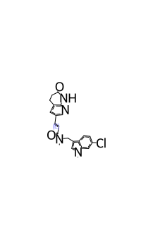 CN(Cc1cn(C)c2cc(Cl)ccc12)C(=O)/C=C/c1cnc2c(c1)CCC(=O)N2